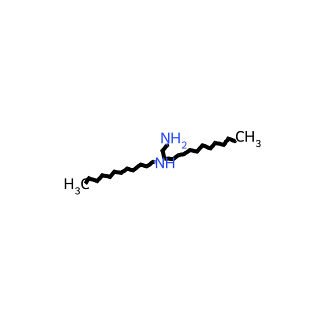 CCCCCCCCCCCCNC(CCN)CCCCCCCCCCCC